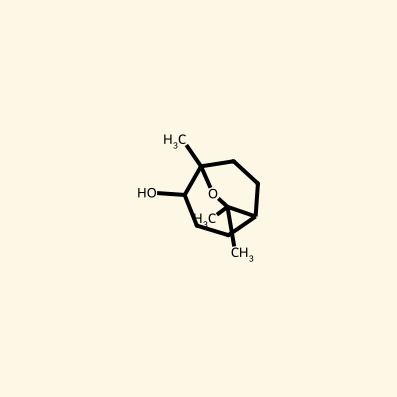 CC1(C)OC2(C)CCC1CCC2O